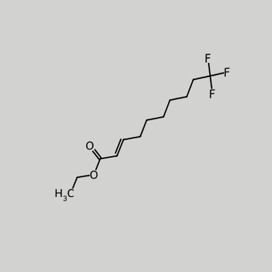 CCOC(=O)C=CCCCCCCC(F)(F)F